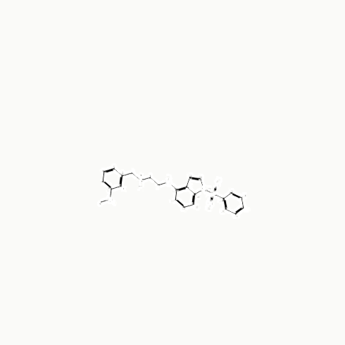 COc1cccc(CNCCOc2cccc3c2ccn3S(=O)(=O)c2ccccc2)c1